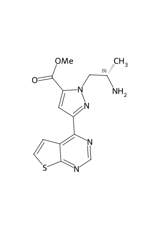 COC(=O)c1cc(-c2ncnc3sccc23)nn1C[C@H](C)N